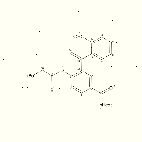 CCCCCCCC(=O)c1ccc(OC(=O)CC(C)(C)C)c(C(=O)c2ccccc2[C]=O)c1